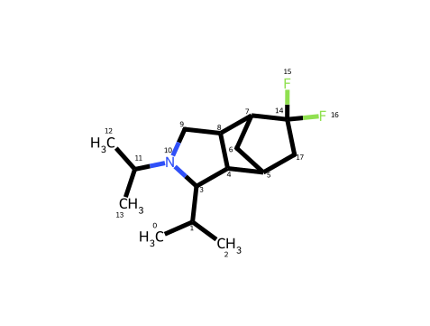 CC(C)C1C2C3CC(C2CN1C(C)C)C(F)(F)C3